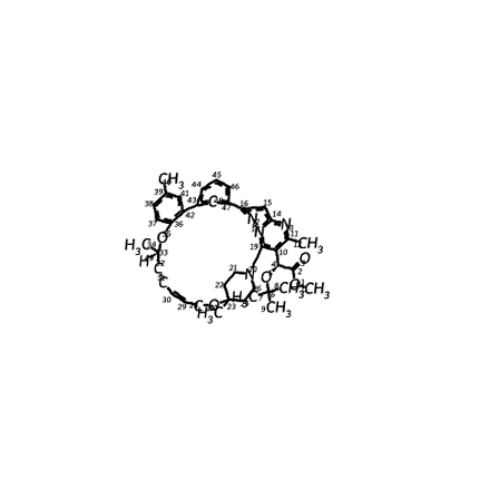 COC(=O)[C@@H](OC(C)(C)C)c1c(C)nc2cc3nn2c1N1CCC(C)(CC1)OCC=CCC[C@H](C)Oc1ccc(C)cc1-c1cccc-3c1